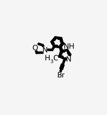 Cc1c(C#CBr)ncc2[nH]c3cccc(CN4CCOCC4)c3c12